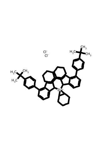 CC(C)(C)c1ccc(-c2cccc3c2C=C(C2CCCCC2)[CH]3[Zr+2]2([CH]3C(C4CCCCC4)=Cc4c(-c5ccc(C(C)(C)C)cc5)cccc43)[CH]3CCCC[CH]32)cc1.[Cl-].[Cl-]